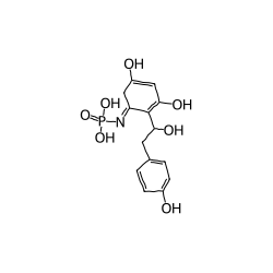 O=P(O)(O)N=C1CC(O)=CC(O)=C1C(O)Cc1ccc(O)cc1